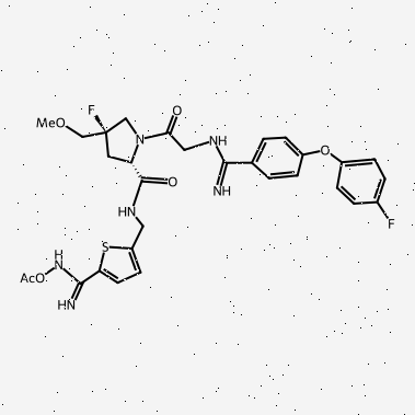 COC[C@@]1(F)C[C@@H](C(=O)NCc2ccc(C(=N)NOC(C)=O)s2)N(C(=O)CNC(=N)c2ccc(Oc3ccc(F)cc3)cc2)C1